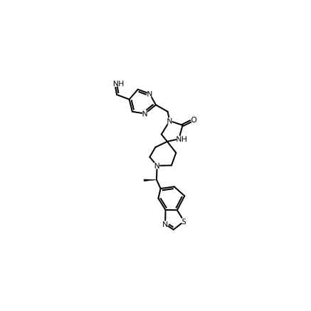 C[C@H](c1ccc2scnc2c1)N1CCC2(CC1)CN(Cc1ncc(C=N)cn1)C(=O)N2